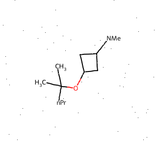 CCCC(C)(C)OC1CC(NC)C1